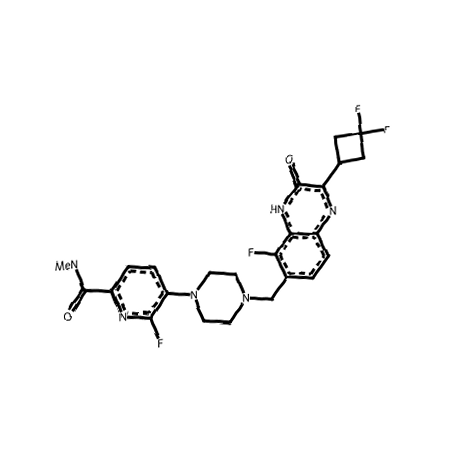 CNC(=O)c1ccc(N2CCN(Cc3ccc4nc(C5CC(F)(F)C5)c(=O)[nH]c4c3F)CC2)c(F)n1